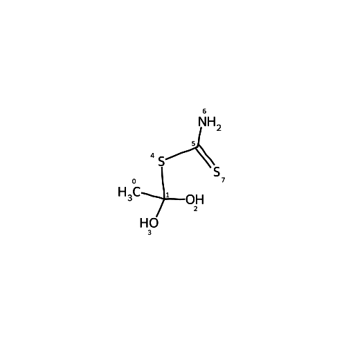 CC(O)(O)SC(N)=S